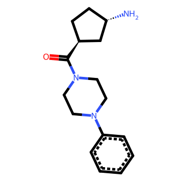 N[C@H]1CC[C@H](C(=O)N2CCN(c3ccccc3)CC2)C1